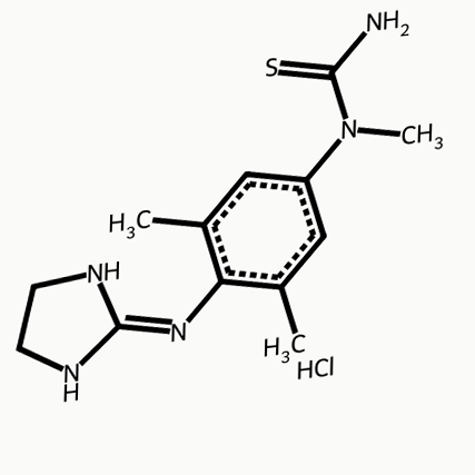 Cc1cc(N(C)C(N)=S)cc(C)c1N=C1NCCN1.Cl